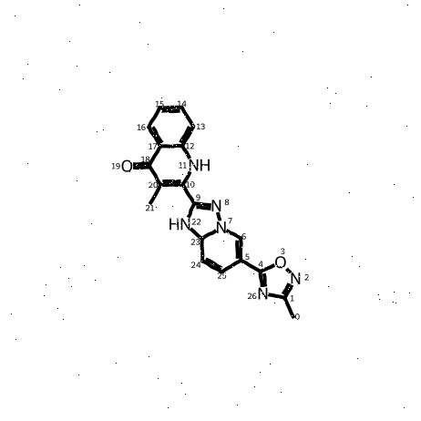 Cc1noc(C2=CN3N=C(c4[nH]c5ccccc5c(=O)c4C)NC3C=C2)n1